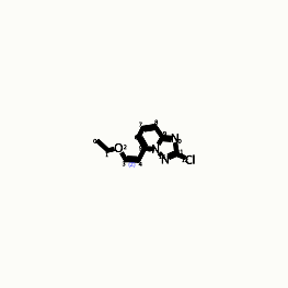 CCO/C=C\c1cccc2nc(Cl)nn12